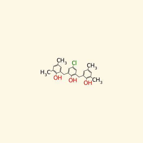 Cc1cc(C)c(O)c(Cc2cc(Cl)cc(Cc3cc(C)cc(C)c3O)c2O)c1